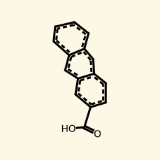 O=C(O)c1ccc2cc3ccccc3cc2c1